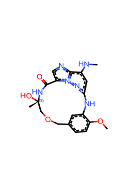 CNc1cc2nn3c(cnc13)C(=O)N[C@@](C)(O)COCc1ccc(OC)c(c1)N2